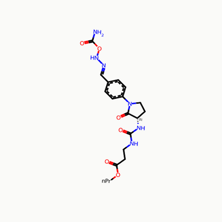 CCCOC(=O)CCNC(=O)N[C@H]1CCN(c2ccc(C=NNOC(N)=O)cc2)C1=O